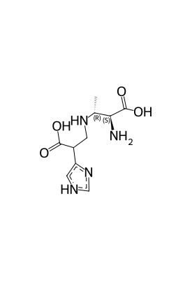 C[C@@H](NCC(C(=O)O)c1c[nH]cn1)[C@H](N)C(=O)O